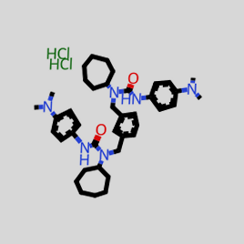 CN(C)c1ccc(NC(=O)N(Cc2cccc(CN(C(=O)Nc3ccc(N(C)C)cc3)C3CCCCCC3)c2)C2CCCCCC2)cc1.Cl.Cl